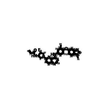 C=CC(=O)N[C@H]1CN(c2ccc3ncnc(Nc4ccc(Oc5ccc6c(c5)nnn6C)c(C)c4)c3n2)C[C@H]1F